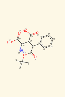 CC(C)(C)OC(=O)C(c1ccccc1)C(C(=O)O)C(N)C(=O)O